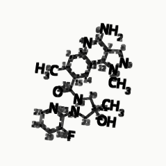 Cc1cc2nc(N)c3cnn(C)c3c2cc1C(=O)N1CC(C)(O)CN1c1ncccc1F